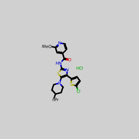 CCCC1CCN(c2sc(NC(=O)c3ccnc(OC)c3)nc2-c2ccc(Cl)s2)CC1.Cl